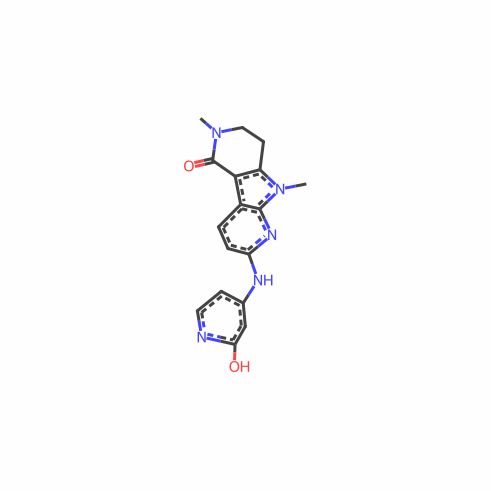 CN1CCc2c(c3ccc(Nc4ccnc(O)c4)nc3n2C)C1=O